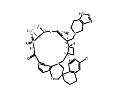 CO[C@@]1(CN2CCc3[nH]nnc3C2)/C=C/C[C@H](C)[C@@H](C)S(=O)(=O)NC(=O)c2ccc3c(c2)N(C[C@@H]2CC[C@H]21)C[C@@]1(CCCc2cc(Cl)ccc21)CO3